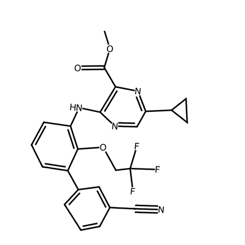 COC(=O)c1nc(C2CC2)cnc1Nc1cccc(-c2cccc(C#N)c2)c1OCC(F)(F)F